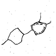 CC1CCC(c2ccc(F)c(F)c2)CC1